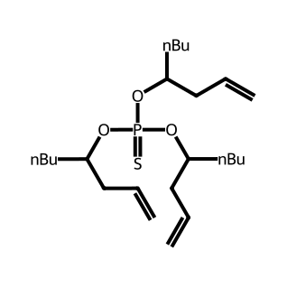 C=CCC(CCCC)OP(=S)(OC(CC=C)CCCC)OC(CC=C)CCCC